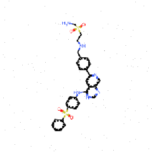 NCS(=O)(=O)CCNCc1ccc(-c2cc3c(Nc4ccc(S(=O)(=O)c5ccccc5)cc4)ncnc3cn2)cc1